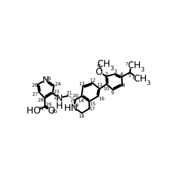 COc1cc(C(C)C)ccc1-c1ccc2c(c1)CCN[C@@H]2CNc1cnccc1C(=O)O